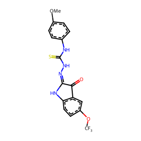 COc1ccc(NC(=S)NN=C2Nc3ccc(OC(F)(F)F)cc3C2=O)cc1